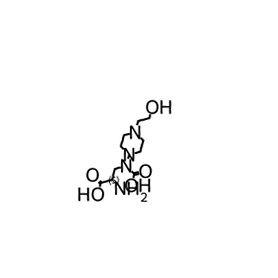 N[C@@H](CN(C(=O)O)N1CCN(CCO)CC1)C(=O)O